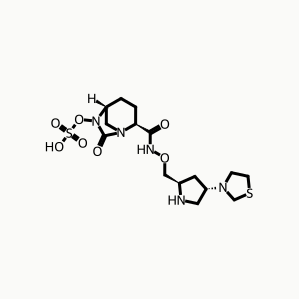 O=C(NOC[C@H]1C[C@H](N2CCSC2)CN1)[C@@H]1CC[C@@H]2CN1C(=O)N2OS(=O)(=O)O